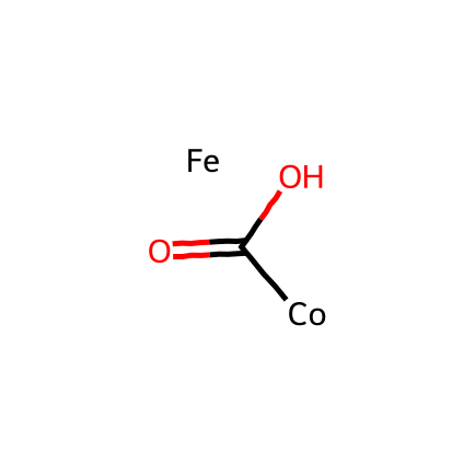 O=[C](O)[Co].[Fe]